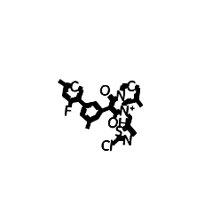 Cc1cc(-c2ccc(C)cc2F)cc(-c2c(O)[n+](Cc3cnc(Cl)s3)c3c(C)cccn3c2=O)c1